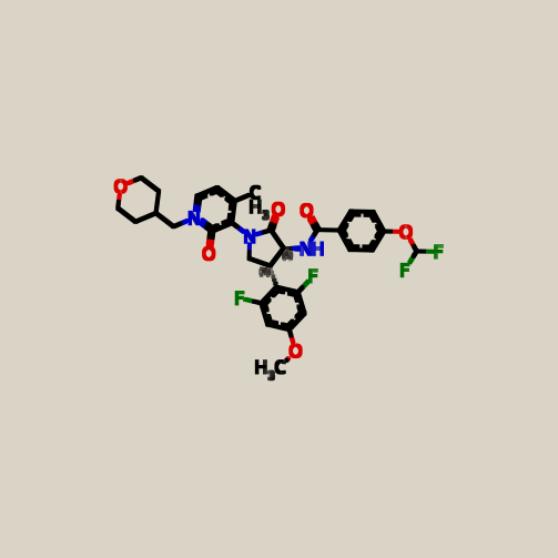 COc1cc(F)c([C@@H]2CN(c3c(C)ccn(CC4CCOCC4)c3=O)C(=O)[C@H]2NC(=O)c2ccc(OC(F)F)cc2)c(F)c1